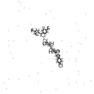 O=C(CCCCC(c1ccc(F)cc1)c1ccc(F)cc1)NC/C=C/CNC(=O)COc1ccc(Cl)cc1